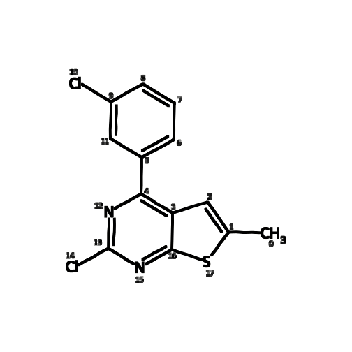 Cc1cc2c(-c3cccc(Cl)c3)nc(Cl)nc2s1